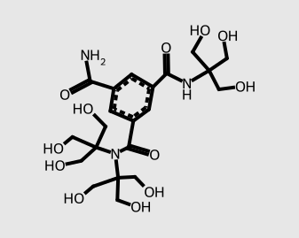 NC(=O)c1cc(C(=O)NC(CO)(CO)CO)cc(C(=O)N(C(CO)(CO)CO)C(CO)(CO)CO)c1